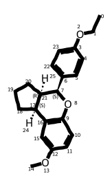 CCOc1ccc([C@H]2Oc3ccc(OC)cc3[C@H]3CCC[C@H]32)cc1